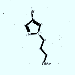 COCCCn1cc(Br)cn1